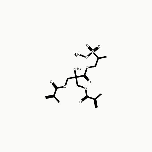 C=C(C)C(=O)OCC(CCCCCC)(COC(=O)C(=C)C)C(=O)OCC(C)S(=O)(=O)ON